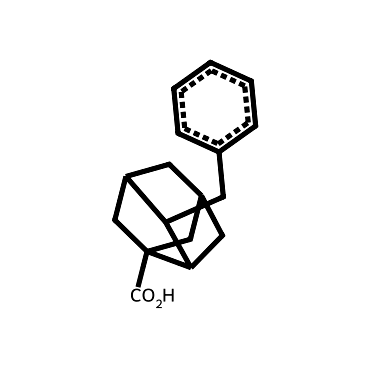 O=C(O)C12CC3CC(C1)C(Cc1ccccc1)C2C3